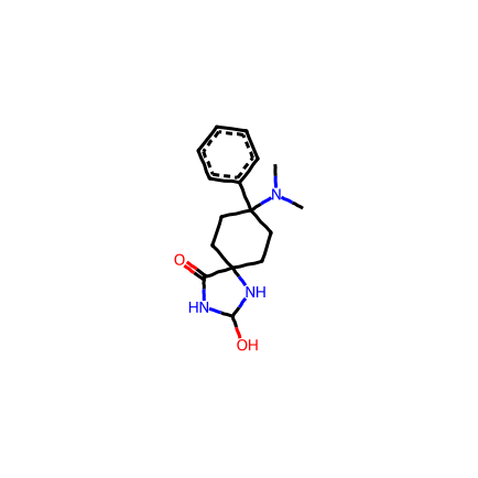 CN(C)C1(c2ccccc2)CCC2(CC1)NC(O)NC2=O